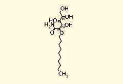 CCCCCCCCCCO[C@@H](C(N)=O)[C@@H](O)[C@H](O)[C@H](O)CO